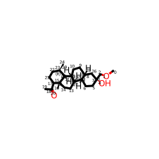 COC[C@@]1(O)CC[C@H]2[C@H](CC[C@@H]3[C@@H]2CC[C@]2(C)C(C(C)=O)CC[C@@H](C)[C@@H]32)C1